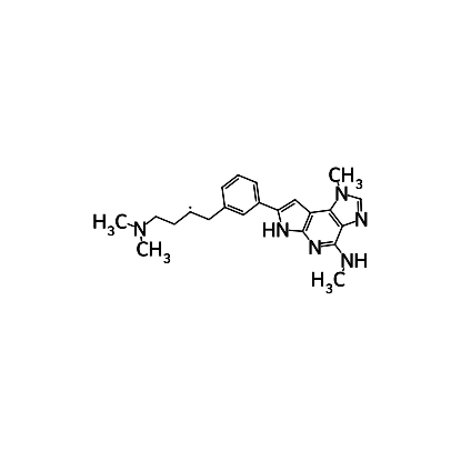 CNc1nc2[nH]c(-c3cccc(C[CH]CCN(C)C)c3)cc2c2c1ncn2C